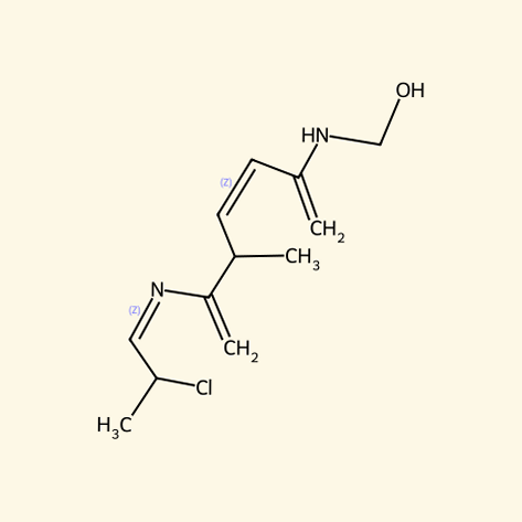 C=C(/C=C\C(C)C(=C)/N=C\C(C)Cl)NCO